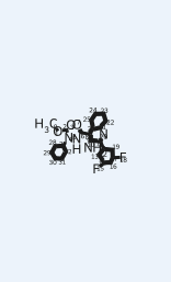 COC(=O)N(NC(=O)c1c(N)c(-c2cc(F)cc(F)c2)nc2ccccc12)c1ccccc1